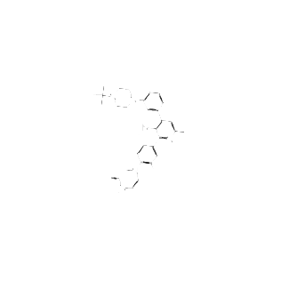 CN(C=O)/C=C\N(C)c1ccc(-c2nc(F)cc(-c3cccc(N4CCN(C(C)(C)C)CC4)c3)c2N)cc1Cl